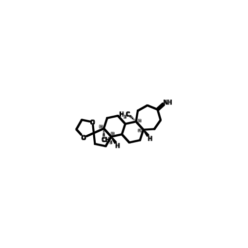 C[C@]12CCC3C(CC[C@H]4CCC(=N)CC[C@]34C)[C@@H]1CCC21OCCO1